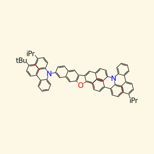 CC(C)c1ccc(-c2ccccc2N(c2ccc3cc4c(cc3c2)oc2cc3cc(N(c5ccc(C(C)C)cc5)c5ccccc5-c5ccc(C(C)(C)C)cc5)ccc3cc24)c2ccccc2-c2ccccc2)cc1